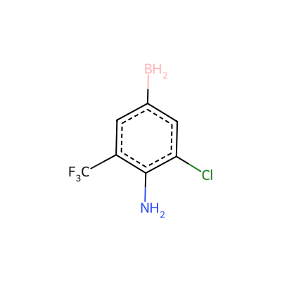 Bc1cc(Cl)c(N)c(C(F)(F)F)c1